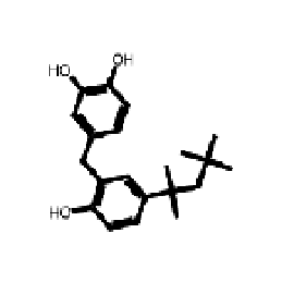 CC(C)(C)CC(C)(C)c1ccc(O)c(Cc2ccc(O)c(O)c2)c1